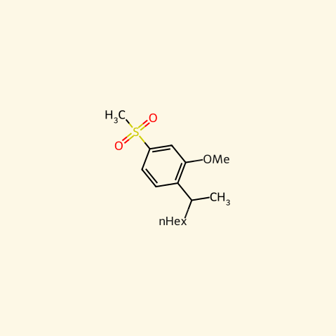 CCCCCCC(C)c1ccc(S(C)(=O)=O)cc1OC